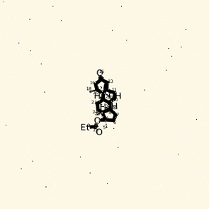 CCC(=O)O[C@]1(C)CC[C@H]2[C@@H]3CCC4=CC(=O)C[C@H](C)[C@]4(CO)[C@H]3CC[C@@]21C